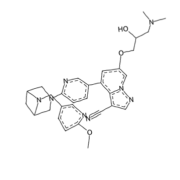 COc1ccc(CN2C3CC2CN(c2ccc(-c4cc(OCC(O)CN(C)C)cn5ncc(C#N)c45)cn2)C3)cn1